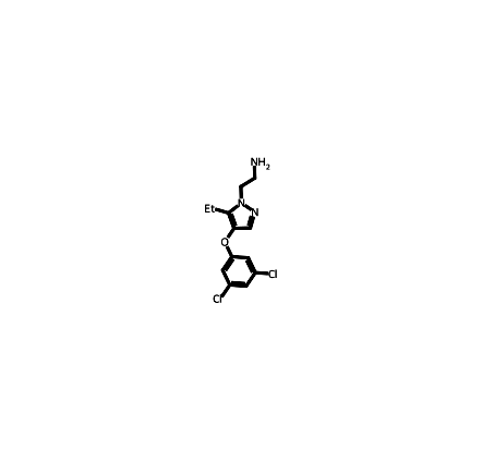 CCc1c(Oc2cc(Cl)cc(Cl)c2)cnn1CCN